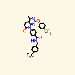 Cc1nc(Oc2ccc(C(F)(F)F)cc2)nc2c1ccc(=O)n2-c1ccc(C(=O)NCc2ccc(C(F)(F)F)cc2)cc1